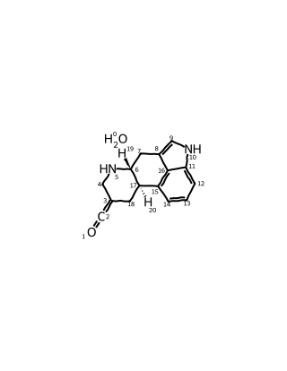 O.O=C=C1CN[C@@H]2Cc3c[nH]c4cccc(c34)[C@H]2C1